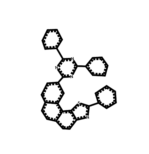 c1ccc(-c2nc(-c3ccccc3)nc(-c3ccc4ccc5ccc6nc(-c7ccccc7)sc6c5c4c3)n2)cc1